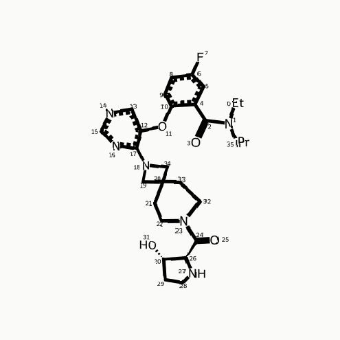 CCN(C(=O)c1cc(F)ccc1Oc1cncnc1N1CC2(CCN(C(=O)[C@H]3NCC[C@@H]3O)CC2)C1)C(C)C